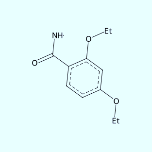 CCOc1ccc(C([NH])=O)c(OCC)c1